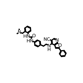 CN(C)Cc1ccccc1NC(=O)Nc1ccc(CCNc2c(C#N)cnc3oc(-c4ccccc4)cc23)cc1